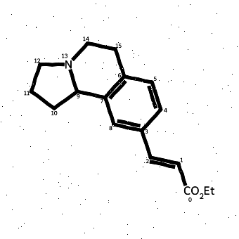 CCOC(=O)/C=C/c1ccc2c(c1)C1CCCN1CC2